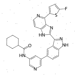 O=C(Nc1cncc(-c2ccc3[nH]nc(-c4nc5c(-c6ccc(F)s6)nccc5[nH]4)c3c2)c1)C1CCCCC1